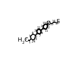 C=CC1CCC(c2ccc(-c3ccc(OCCCF)cc3)cc2)CC1